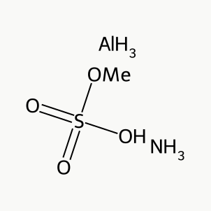 COS(=O)(=O)O.N.[AlH3]